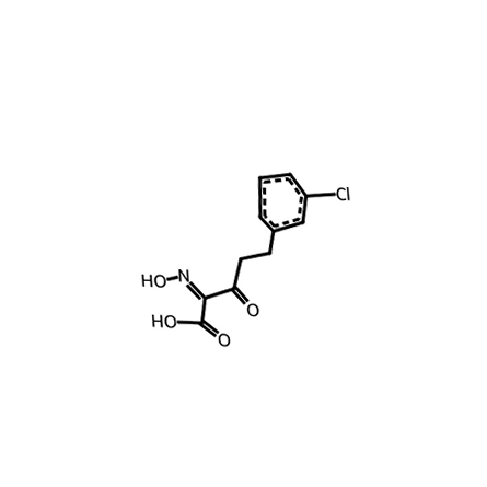 O=C(O)C(=NO)C(=O)CCc1cccc(Cl)c1